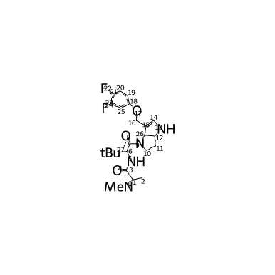 CNC(C)C(=O)NC(C(=O)N1CCC2NC=C(COc3ccc(F)c(F)c3)C21)C(C)(C)C